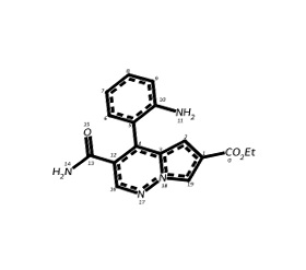 CCOC(=O)c1cc2c(-c3ccccc3N)c(C(N)=O)cnn2c1